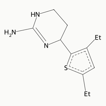 CCc1cc(CC)c(C2CCNC(N)=N2)s1